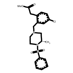 COC(=O)Cc1ccc(Cl)cc1CN1CCN(S(=O)(=O)c2ccccc2)[C@@H](C)C1